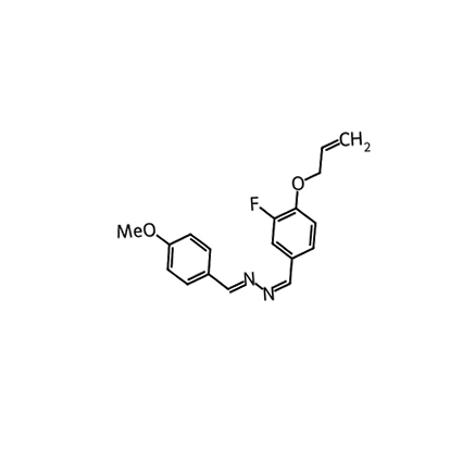 C=CCOc1ccc(/C=N\N=C\c2ccc(OC)cc2)cc1F